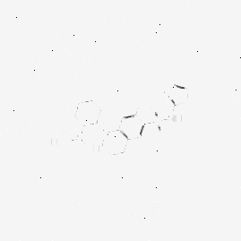 CN(C)[C@H]1CCCC[C@@H]1N1CCCc2cc(S(=O)(=O)Nc3nccs3)c(F)cc21